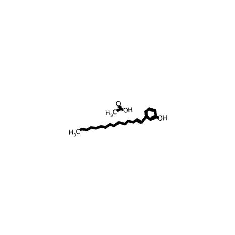 CC(=O)O.CCCCCCCCCCCCCC=Cc1cccc(O)c1